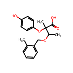 Cc1ccccc1COC(C)C(C)(Oc1ccc(O)cc1)C(=O)O